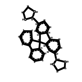 c1ccc2c(c1)-c1ccccc1C21c2cc(B3OCCO3)ccc2-c2ccc(B3OCCO3)cc21